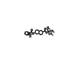 CC(C)(C)OC(=O)C1CCC2CC(OC(=O)C3CC4C=CC3C4O)CCC2C1